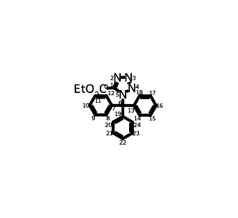 CCOC(=O)c1nnnn1C(c1ccccc1)(c1ccccc1)c1ccccc1